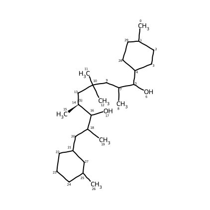 CC1CCC(C(O)C(C)CC(C)(C)C[C@H](C)C(O)C(C)CC2CCCC(C)C2)CC1